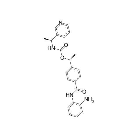 C[C@H](NC(=O)O[C@@H](C)c1ccc(C(=O)Nc2ccccc2N)cc1)c1cccnc1